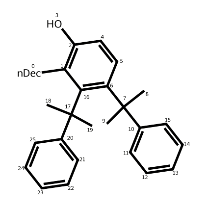 CCCCCCCCCCc1c(O)ccc(C(C)(C)c2ccccc2)c1C(C)(C)c1ccccc1